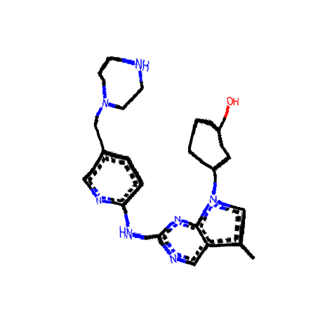 Cc1cn(C2CCC(O)C2)c2nc(Nc3ccc(CN4CCNCC4)cn3)ncc12